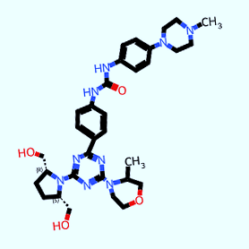 CC1COCCN1c1nc(-c2ccc(NC(=O)Nc3ccc(N4CCN(C)CC4)cc3)cc2)nc(N2[C@H](CO)CC[C@@H]2CO)n1